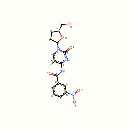 O=C(Nc1nc(=O)n([C@H]2CC[C@@H](CO)O2)cc1F)c1cccc([N+](=O)[O-])c1